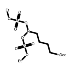 CCCCCCCCCCCCCCN(OS(=O)(=O)OCC)OS(=O)(=O)OCC